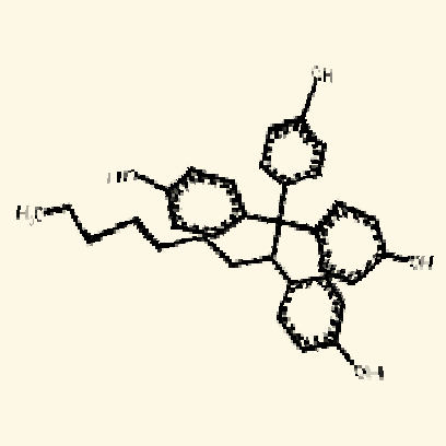 CCCCCCCC(c1ccc(O)cc1)C(c1ccc(O)cc1)(c1ccc(O)cc1)c1ccc(O)cc1